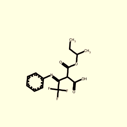 CCC(C)OC(=O)C(C(=O)O)C(=Nc1ccccc1)C(F)(F)F